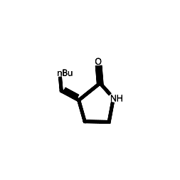 CCCCC=C1CCNC1=O